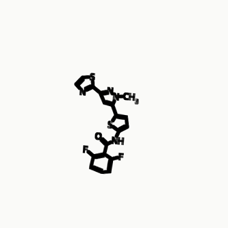 Cn1nc(-c2nccs2)cc1-c1ccc(NC(=O)c2c(F)cccc2F)s1